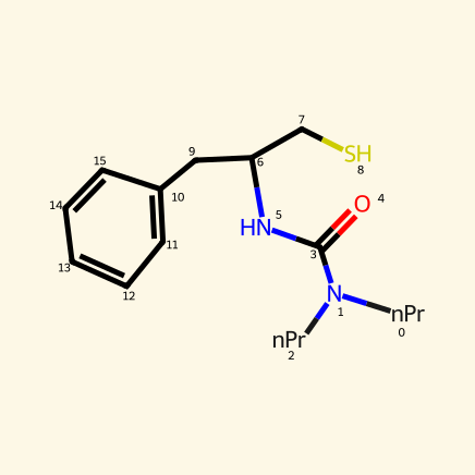 CCCN(CCC)C(=O)NC(CS)Cc1ccccc1